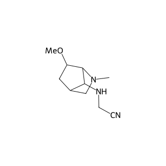 COC1CC2CN(C)C1C2NCC#N